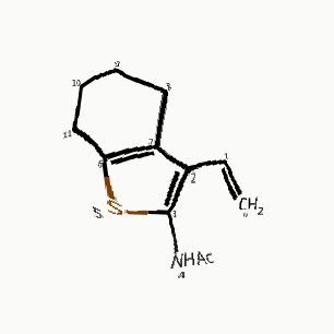 C=Cc1c(NC(C)=O)sc2c1CCCC2